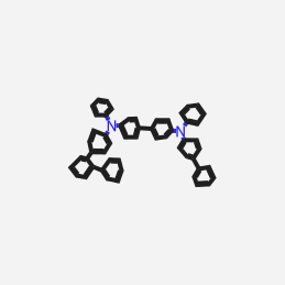 c1ccc(-c2ccc(N(c3ccccc3)c3ccc(-c4ccc(N(c5ccccc5)c5ccc(-c6ccccc6-c6ccccc6)cc5)cc4)cc3)cc2)cc1